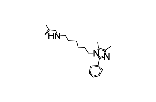 C=C(C)CNCCCCCCn1c(-c2ccccc2)nc(C)c1C